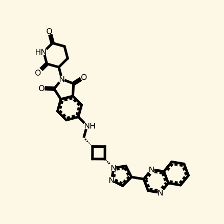 O=C1CCC(N2C(=O)c3ccc(NC[C@H]4C[C@@H](n5cc(-c6cnc7ccccc7n6)cn5)C4)cc3C2=O)C(=O)N1